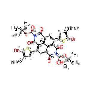 CCCCCCc1cc(-c2cc3c4c(c(-c5cc(CCCCCC)c(Br)s5)cc5c4c2C(=O)N(C(=O)OC(C)(C)CCCC)C5=O)C(=O)N(C(O)OC(C)(C)CCCC)C3=O)sc1Br